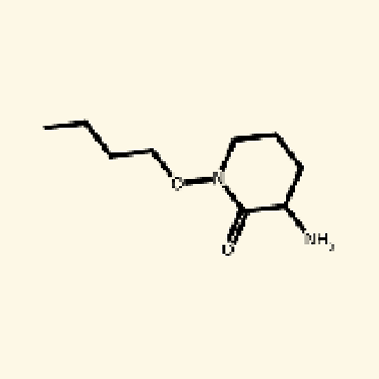 CCCCON1CCCC(N)C1=O